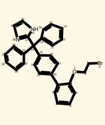 BrCCOc1ccccc1-c1ccc(C(c2ccccc2)(c2ccccc2)c2ncc[nH]2)cc1